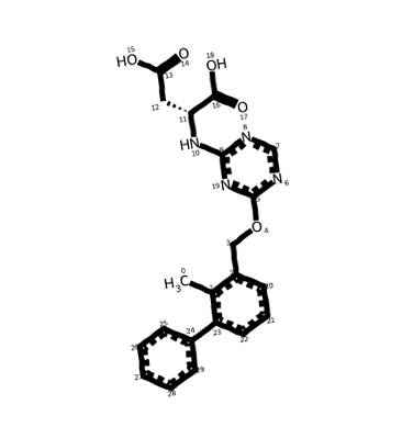 Cc1c(COc2ncnc(N[C@H](CC(=O)O)C(=O)O)n2)cccc1-c1ccccc1